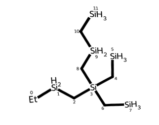 CC[SiH2]C[Si](C[SiH3])(C[SiH3])C[SiH2]C[SiH3]